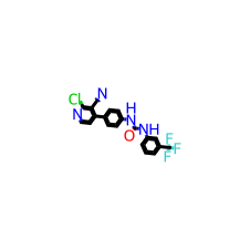 N#Cc1c(-c2ccc(NC(=O)Nc3cccc(C(F)(F)F)c3)cc2)ccnc1Cl